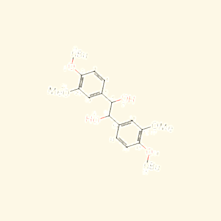 CCCCOc1ccc(C(O)C(O)c2ccc(OCCCC)c(OC)c2)cc1OC